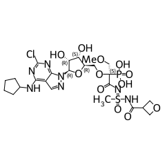 COC[C@@](OC[C@H]1O[C@@H](n2ncc3c(NC4CCCC4)nc(Cl)nc32)[C@H](O)[C@@H]1O)(C(=O)N=S(C)(=O)NC(=O)C1COC1)P(=O)(O)O